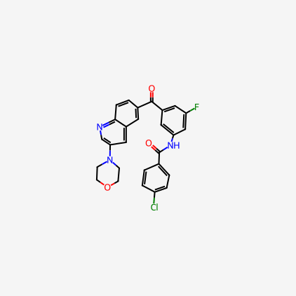 O=C(Nc1cc(F)cc(C(=O)c2ccc3ncc(N4CCOCC4)cc3c2)c1)c1ccc(Cl)cc1